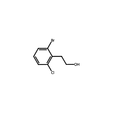 OCCc1c(Cl)cccc1Br